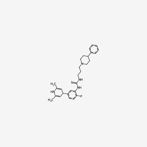 CC1=CC(c2ccc(F)c(NC(=S)NCCCN3CCC(c4ccccc4)CC3)c2)C=C(C)N1